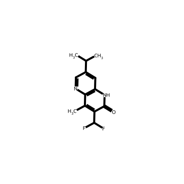 Cc1c(C(F)F)c(=O)[nH]c2cc(C(C)C)cnc12